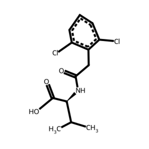 CC(C)[C@H](NC(=O)Cc1c(Cl)cccc1Cl)C(=O)O